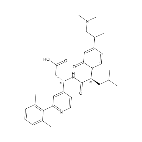 Cc1cccc(C)c1-c1cc([C@H](CC(=O)O)NC(=O)[C@H](CC(C)C)n2ccc(C(C)CN(C)C)cc2=O)ccn1